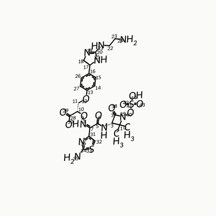 CC1(C)[C@H](NC(=O)/C(=N\O[C@@H](COc2ccc(C3CN=C(NCCN)N3)cc2)C(=O)O)c2csc(N)n2)C(=O)N1OS(=O)(=O)O